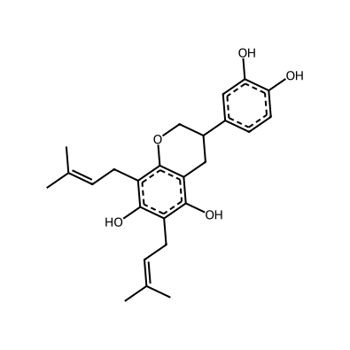 CC(C)=CCc1c(O)c(CC=C(C)C)c2c(c1O)CC(c1ccc(O)c(O)c1)CO2